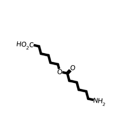 NCCCCCC(=O)OCCCCCC(=O)O